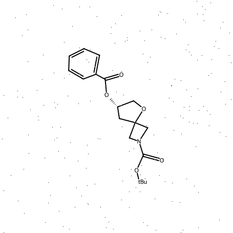 CC(C)(C)OC(=O)N1CC2(C[C@H](OC(=O)c3ccccc3)CO2)C1